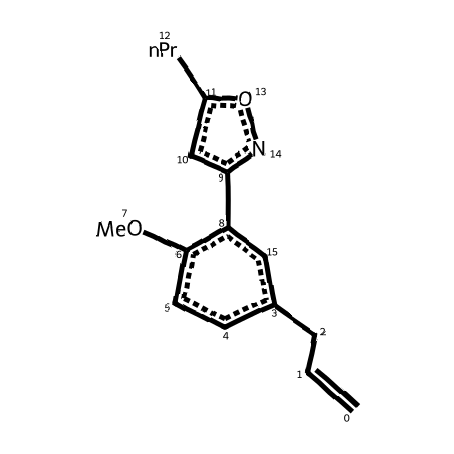 C=CCc1ccc(OC)c(-c2cc(CCC)on2)c1